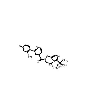 C[C@H]1CN(C(=O)c2ccnc(-c3ccc(F)cc3C#N)c2)Cc2cnc(C(C)(O)C(F)(F)F)n21